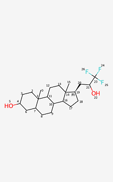 CC12CCC(O)CC1CCC1C2CCC2(C)C1CC[C@@H]2CC(O)C(F)(F)F